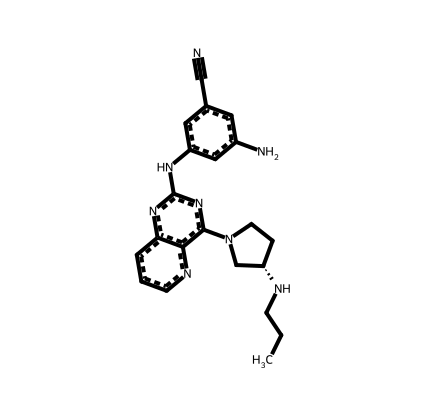 CCCN[C@H]1CCN(c2nc(Nc3cc(N)cc(C#N)c3)nc3cccnc23)C1